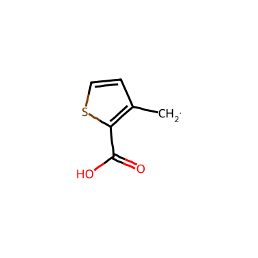 [CH2]c1ccsc1C(=O)O